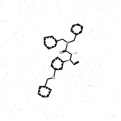 C=C[C@@H](c1cccc(OCc2ccccc2)c1)[C@@H](C)C(=O)N(Cc1ccccc1)Cc1ccccc1